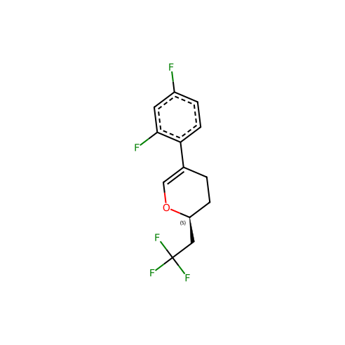 Fc1ccc(C2=CO[C@H](CC(F)(F)F)CC2)c(F)c1